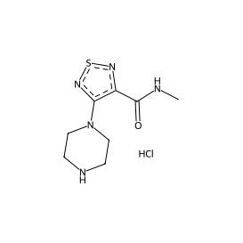 CNC(=O)c1nsnc1N1CCNCC1.Cl